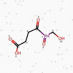 O=C(O)CCC(=O)[PH](=O)CO